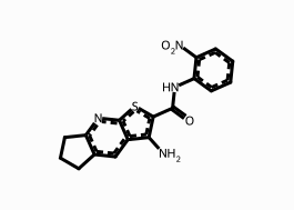 Nc1c(C(=O)Nc2ccccc2[N+](=O)[O-])sc2nc3c(cc12)CCC3